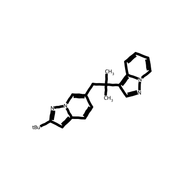 CC(C)(C)c1cc2ccc(CC(C)(C)c3cnn4ccccc34)cn2n1